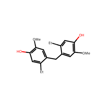 CCc1cc(O)c(OC)cc1Cc1cc(OC)c(O)cc1CC